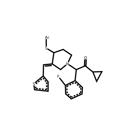 CC(=O)SC1CCN(C(C(=O)C2CC2)c2ccccc2F)C/C1=C\c1cccs1